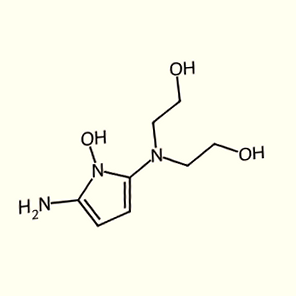 Nc1ccc(N(CCO)CCO)n1O